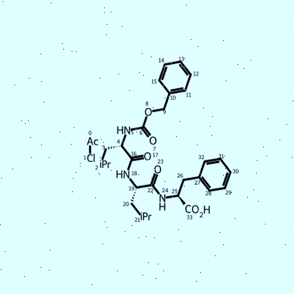 CC(=O)Cl.CC(C)C[C@H](NC(=O)OCc1ccccc1)C(=O)N[C@@H](CC(C)C)C(=O)N[C@@H](Cc1ccccc1)C(=O)O